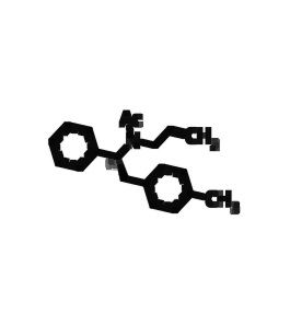 C=CCN(C(C)=O)[C@@H](Cc1ccc(C)cc1)c1ccccc1